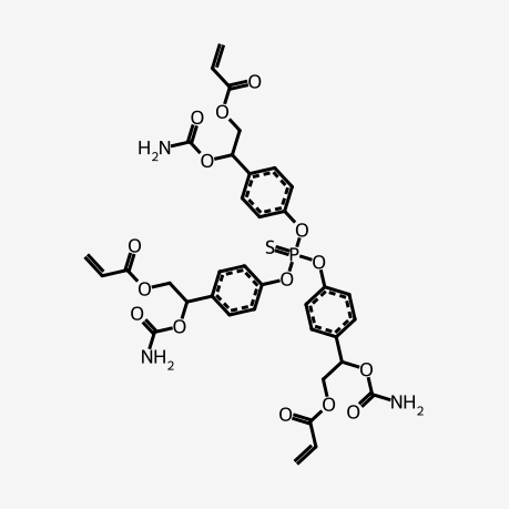 C=CC(=O)OCC(OC(N)=O)c1ccc(OP(=S)(Oc2ccc(C(COC(=O)C=C)OC(N)=O)cc2)Oc2ccc(C(COC(=O)C=C)OC(N)=O)cc2)cc1